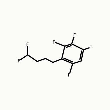 Fc1[c]c(F)c(CCCC(F)F)c(F)c1F